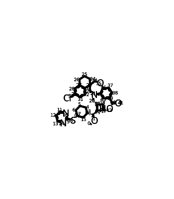 COC([C@H]1CCC[C@@H](Sc2ncccn2)C1)[C@@H]1CC[C@H]1CN1CC2(CCCc3cc(Cl)ccc32)COc2ccc(C(=O)O)cc21